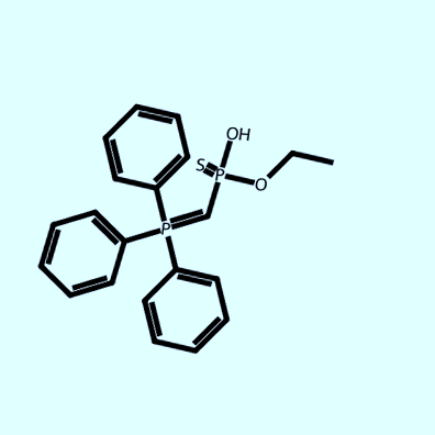 CCOP(O)(=S)C=P(c1ccccc1)(c1ccccc1)c1ccccc1